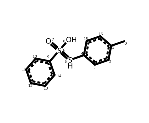 Cc1ccc([SH]=S(=O)(O)c2ccccc2)cc1